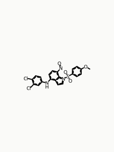 COc1ccc(S(=O)(=O)n2ccc3c(Nc4ccc(Cl)c(Cl)c4)ccc(N=O)c32)cc1